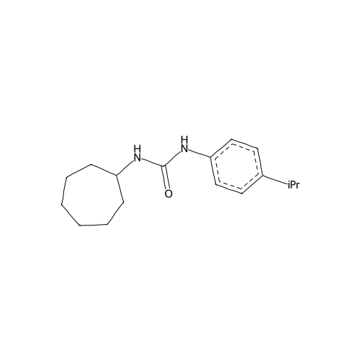 CC(C)c1ccc(NC(=O)NC2CCCCCC2)cc1